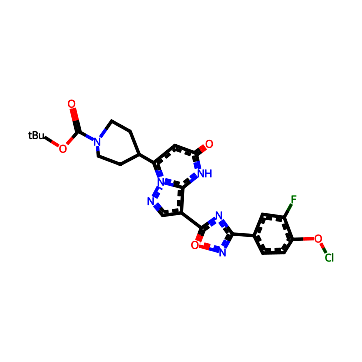 CC(C)(C)OC(=O)N1CCC(c2cc(=O)[nH]c3c(-c4nc(-c5ccc(OCl)c(F)c5)no4)cnn23)CC1